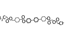 C=CC(=O)OCC(=O)OC1CCC(c2ccc(-c3ccc(OC(=O)C4CCC(COC(=O)C=C)CC4)cc3)cc2)CC1